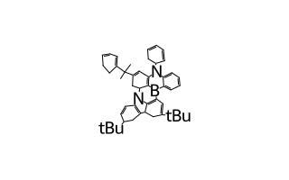 CC(C)(C)C1=CC2=C3C(C1)C1=C(C=CC(C(C)(C)C)C1)N3C1CC(C(C)(C)C3=CC=CCC3)=CC3=C1B2c1ccccc1N3C1C=CC=CC1